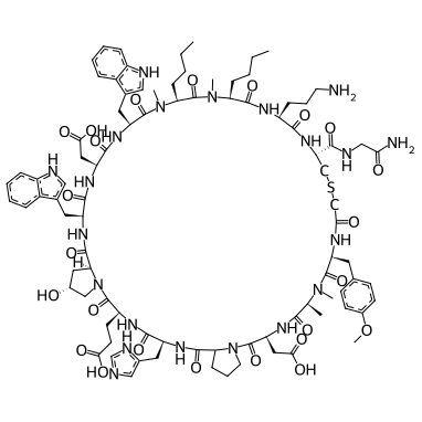 CCCC[C@H]1C(=O)N(C)[C@@H](CCCC)C(=O)N[C@@H](CCCN)C(=O)N[C@H](C(=O)NCC(N)=O)CSCC(=O)N[C@@H](Cc2ccc(OC)cc2)C(=O)N(C)[C@@H](C)C(=O)N[C@@H](CC(=O)O)C(=O)N2CCCC2C(=O)N[C@@H](Cc2cnc[nH]2)C(=O)N[C@@H](CCC(=O)O)C(=O)N2C[C@H](O)C[C@H]2C(=O)N[C@@H](Cc2c[nH]c3ccccc23)C(=O)N[C@@H](CC(=O)O)C(=O)N[C@@H](Cc2c[nH]c3ccccc23)C(=O)N1C